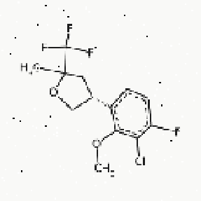 COc1c([C@@H]2COC(C)(C(F)(F)F)C2)ccc(F)c1Cl